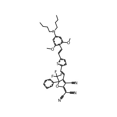 CCCCN(CCCC)c1cc(OC)c(/C=C/c2ccc(/C=C/C3=C(C#N)C(=C(C#N)C#N)OC3(c3ccccc3)C(F)(F)F)s2)c(OC)c1